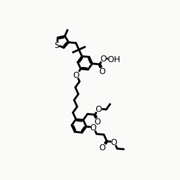 CCOC(=O)CCOc1cccc(CCCCCCOc2cc(C(=O)OO)cc(C(C)(C)Cc3cscc3C)c2)c1CC(=O)OCC